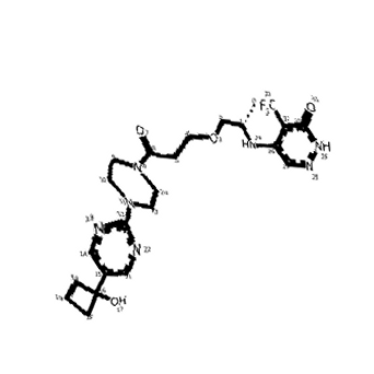 C[C@@H](COCCC(=O)N1CCN(c2ncc(C3(O)CCC3)cn2)CC1)Nc1cn[nH]c(=O)c1C(F)(F)F